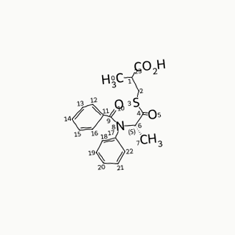 CC(CSC(=O)[C@H](C)N(C(=O)c1ccccc1)c1ccccc1)C(=O)O